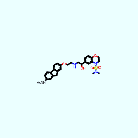 CC(=O)Nc1ccc2c(c1)Cc1cc(OCCNCC(O)c3ccc4c(c3)N(S(=O)(=O)N(C)C)CCO4)ccc1-2